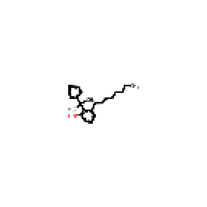 CCCCCCCCc1cccc(O)c1C(C)(C)c1ccccc1